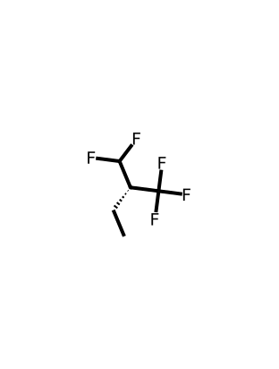 CC[C@H](C(F)F)C(F)(F)F